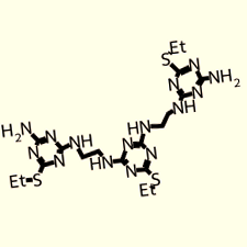 CCSc1nc(N)nc(NCCNc2nc(NCCNc3nc(N)nc(SCC)n3)nc(SCC)n2)n1